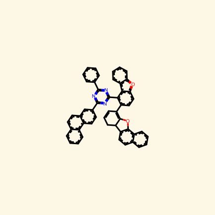 C1=CC(c2ccc3oc4ccccc4c3c2-c2nc(-c3ccccc3)nc(-c3ccc4c(ccc5ccccc54)c3)n2)=C2Oc3c(ccc4ccccc34)C2C1